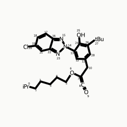 CC(C)CCCCCOC(=C=O)Cc1cc(-n2nc3ccc(Cl)cc3n2)c(O)c(C(C)(C)C)c1